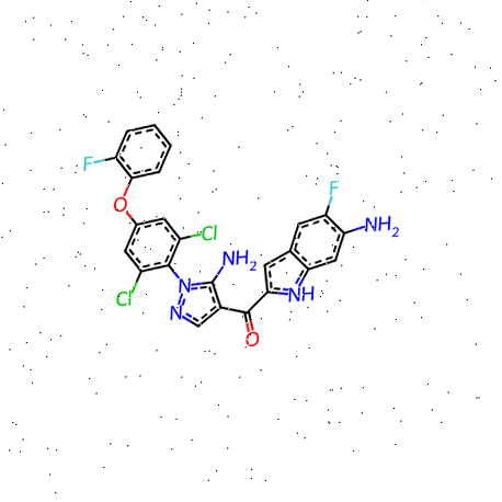 Nc1cc2[nH]c(C(=O)c3cnn(-c4c(Cl)cc(Oc5ccccc5F)cc4Cl)c3N)cc2cc1F